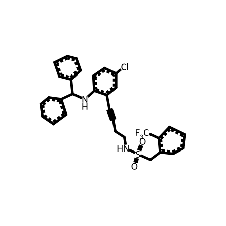 O=S(=O)(Cc1ccccc1C(F)(F)F)NCCC#Cc1cc(Cl)ccc1NC(c1ccccc1)c1ccccc1